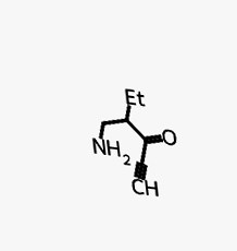 C#CC(=O)C(CC)CN